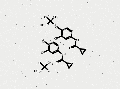 CC(Cl)(Cl)C(=O)O.CC(Cl)(Cl)C(=O)O.O=C(Nc1ccc(Cl)c(Cl)c1)C1CC1.O=C(Nc1ccc(Cl)c(Cl)c1)C1CC1